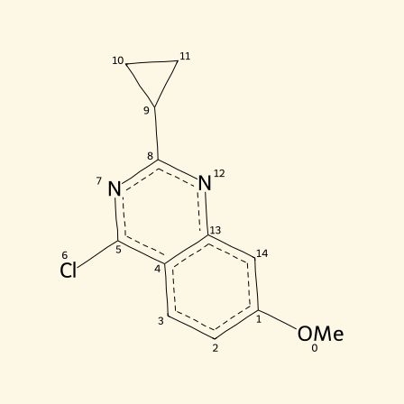 COc1ccc2c(Cl)nc(C3CC3)nc2c1